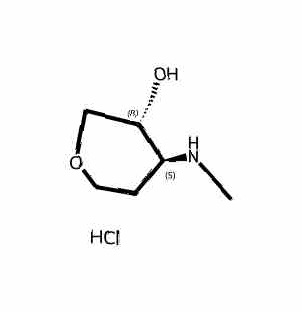 CN[C@H]1CCOC[C@@H]1O.Cl